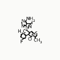 Cc1csc2cc([C@H](C)n3nc(I)c4c(N)ncnc43)c(-c3cccc(F)c3)c(=O)n12